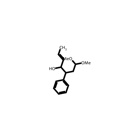 CC=CC(O)C(CC(OC)OC)c1ccccc1